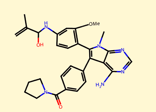 C=C(C)C(O)Nc1ccc(-c2c(-c3ccc(C(=O)N4CCCC4)cc3)c3c(N)ncnc3n2C)c(OC)c1